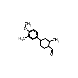 COc1ccc(C2CCC(C=O)C(C)C2)cc1C